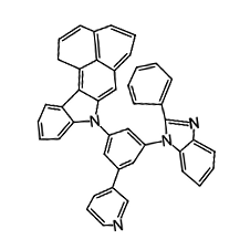 C1=Cc2cccc3cc4c(c(c23)C1)c1ccccc1n4-c1cc(-c2cccnc2)cc(-n2c(-c3ccccc3)nc3ccccc32)c1